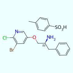 Cc1ccc(S(=O)(=O)O)cc1.N[C@H](COc1cnc(Cl)c(Br)c1)Cc1ccccc1